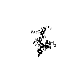 COc1cc(C(=O)NCC(O)(c2cc3c(c(-c4ccc(F)cc4)n2)OC[C@]3(CF)C(N)=O)C(F)(F)F)cc2cc(C(F)(F)F)cnc12